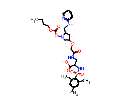 CCCCOC(=O)ON1CC(OCC(=O)NCC(NS(=O)(=O)c2c(C)cc(C)cc2C)C(=O)O)CC1CNc1ccccn1